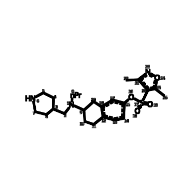 CCCN(CC1CCNCC1)C1CCc2ccc(OS(=O)(=O)c3c(C)noc3C)cc2C1